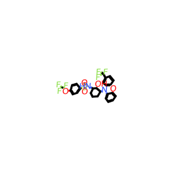 O=S(=O)(NC1CCCC(N2c3ccccc3Oc3ccc(C(F)(F)F)cc32)[C@H]1O)c1ccc(OC(F)(F)F)cc1